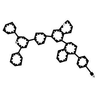 N#Cc1ccc(-c2ccc(-c3cc(-c4ccc(-c5cc(-c6ccccc6)nc(-c6ccccc6)c5)cc4)cc4ccccc34)c3ccccc23)cc1